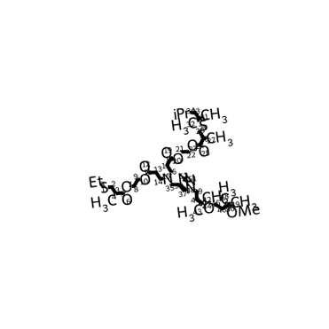 CCSCC(C)C(=O)OCCOC(=O)CCN(CCC(=O)OCCOC(=O)C(C)CSC(C)(C)CC(C)C)Cc1cn(CCC(C)(C)OCCC(C)(C)OC)nn1